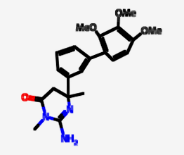 COc1ccc(-c2cccc(C3(C)CC(=O)N(C)C(N)=N3)c2)c(OC)c1OC